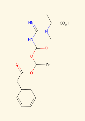 CC(C)C(OC(=O)Cc1ccccc1)OC(=O)NC(=N)N(C)C(C)C(=O)O